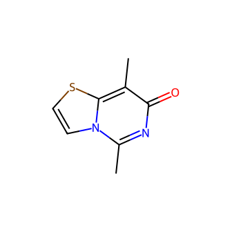 Cc1c(=O)nc(C)n2ccsc12